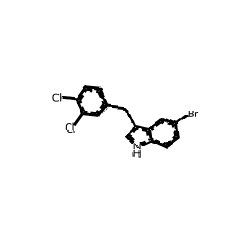 Clc1ccc(Cc2c[nH]c3ccc(Br)cc23)cc1Cl